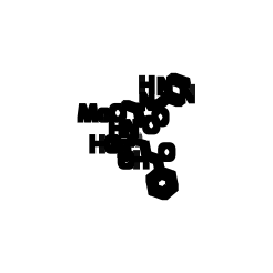 COCC(NC(=O)c1cnccn1)C(=O)N[C@@H](CCC(=O)c1ccccc1)B(O)O